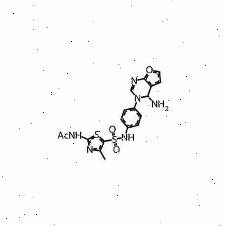 CC(=O)Nc1nc(C)c(S(=O)(=O)Nc2ccc(N3C=Nc4occc4C3N)cc2)s1